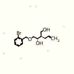 C=CC[C@H](CO)[C@H](O)COCc1ccccc1Br